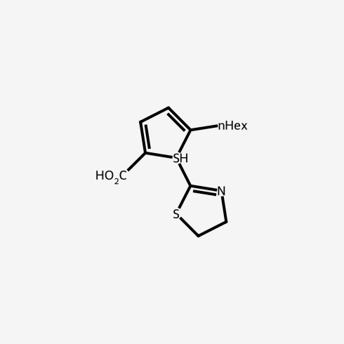 CCCCCCC1=CC=C(C(=O)O)[SH]1C1=NCCS1